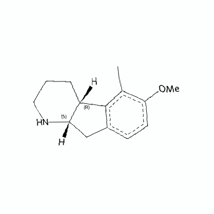 COc1ccc2c(c1C)[C@H]1CCCN[C@H]1C2